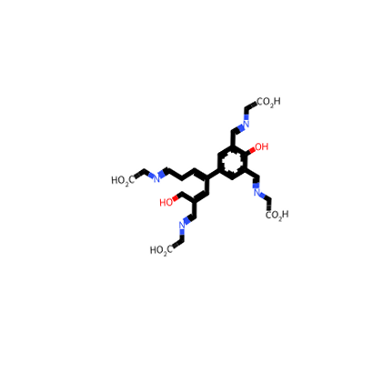 O=C(O)C/N=C/C\C=C(/C=C(/C=N/CC(=O)O)CO)c1cc(/C=N/CC(=O)O)c(O)c(/C=N/CC(=O)O)c1